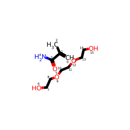 C=C(C)C(N)=O.OCCOCCOCCO